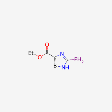 CCOC(=O)c1b[nH]c(P)n1